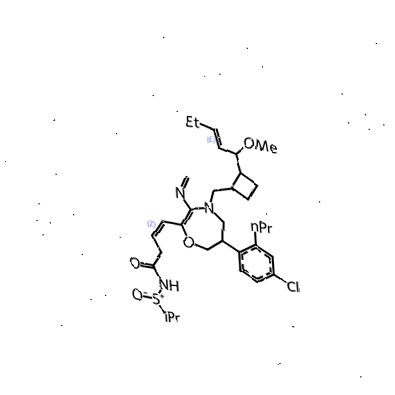 C=NC1=C(/C=C\CC(=O)N[S+]([O-])C(C)C)OCC(c2ccc(Cl)cc2CCC)CN1CC1CCC1C(/C=C/CC)OC